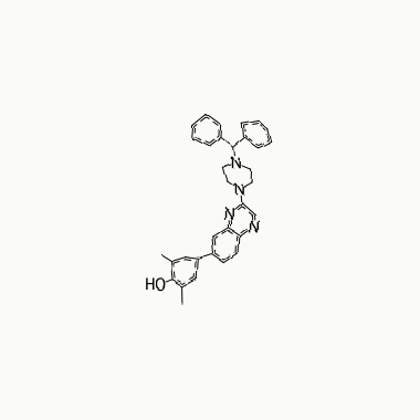 Cc1cc(-c2ccc3ncc(N4CCN(C(c5ccccc5)c5ccccc5)CC4)nc3c2)cc(C)c1O